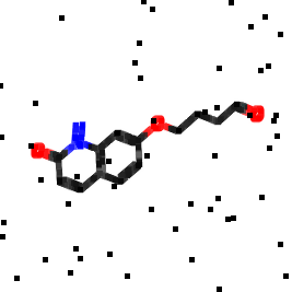 O=CCCCOc1ccc2ccc(=O)[nH]c2c1